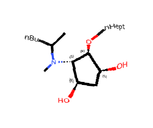 CCCCCCCO[C@@H]1[C@@H](N(C)C(C)CCCC)[C@H](O)C[C@@H]1O